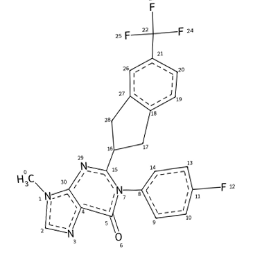 Cn1cnc2c(=O)n(-c3ccc(F)cc3)c(C3Cc4ccc(C(F)(F)F)cc4C3)nc21